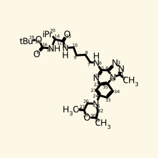 Cc1nnc2c(NCCCCNC(=O)C(NC(=O)OC(C)(C)C)C(C)C)nc3cc(N4CC(C)OC(C)C4)ccc3n12